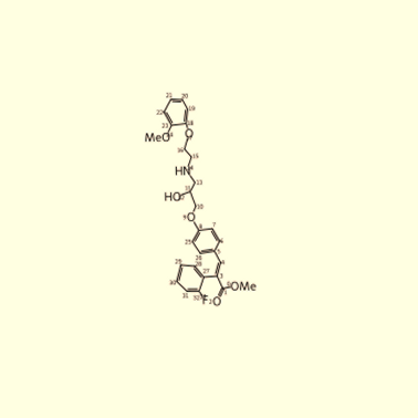 COC(=O)/C(=C/c1ccc(OCC(O)CNCCOc2ccccc2OC)cc1)c1ccccc1F